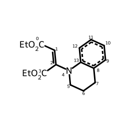 CCOC(=O)C=C(C(=O)OCC)N1CCCc2ccccc21